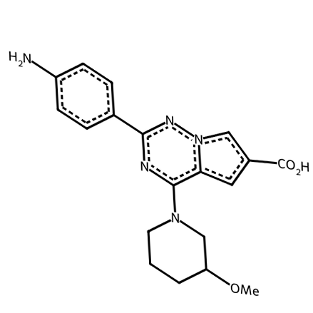 COC1CCCN(c2nc(-c3ccc(N)cc3)nn3cc(C(=O)O)cc23)C1